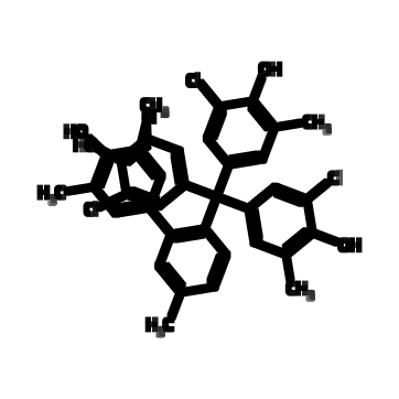 Cc1ccc(C(c2cc(C)c(O)c(Cl)c2)(c2cc(C)c(O)c(Cl)c2)c2cc(C)c(O)c(Cl)c2)c(-c2cc(C)c(O)c(Cl)c2)c1